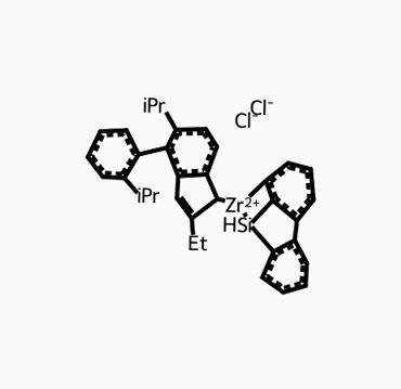 CCC1=Cc2c(ccc(C(C)C)c2-c2ccccc2C(C)C)[CH]1[Zr+2]1[c]2cccc3c2[SiH]1c1ccccc1-3.[Cl-].[Cl-]